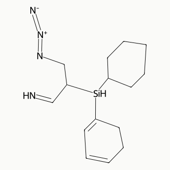 [N-]=[N+]=NCC(C=N)[SiH](C1=CC=CCC1)C1CCCCC1